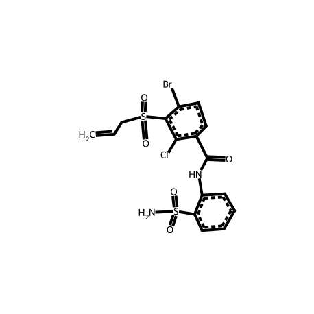 C=CCS(=O)(=O)c1c(Br)ccc(C(=O)Nc2ccccc2S(N)(=O)=O)c1Cl